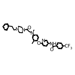 Cc1cc(N(C)CC(=O)N2CCN(CCc3ccccc3)CC2)ccc1Oc1ccc(NC(=O)c2ccc(C(F)(F)F)cc2)cn1